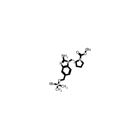 CC(C)(C)OC(=O)N1CCC[C@@H]1Cn1c(N)nc2cc(CO[Si](C)(C)C(C)(C)C)ccc21